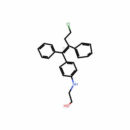 OCCNc1ccc(/C(=C(/CCCl)c2ccccc2)c2ccccc2)cc1